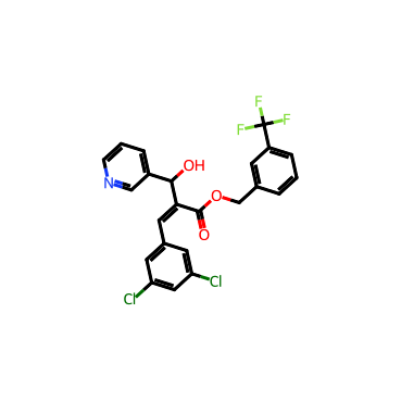 O=C(OCc1cccc(C(F)(F)F)c1)/C(=C\c1cc(Cl)cc(Cl)c1)C(O)c1cccnc1